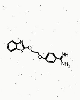 N=C(N)c1ccc(OCCOc2nc3ccccc3s2)cc1